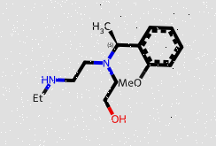 CCNCCN(CCO)[C@@H](C)c1ccccc1OC